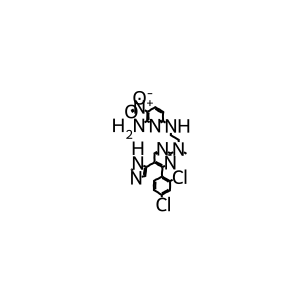 CN(CCNc1ccc([N+](=O)[O-])c(N)n1)c1ncc(-c2cnc[nH]2)c(-c2ccc(Cl)cc2Cl)n1